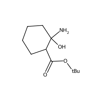 CC(C)(C)OC(=O)C1CCCCC1(N)O